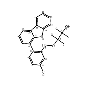 CC(C)(O)C(C)(C)OBc1cc(Cl)ccc1-c1cccc2c1sc1ccccc12